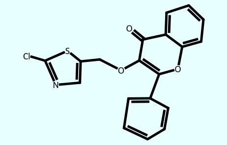 O=c1c(OCc2cnc(Cl)s2)c(-c2ccccc2)oc2ccccc12